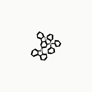 c1ccc(S(c2ccccc2)(c2ccccc2)c2cc(-n3c4ccccc4c4ccccc43)cc3c2oc2ccccc23)cc1